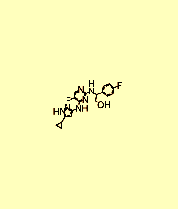 OCC(Nc1ncc(F)c(Nc2cc(C3CC3)[nH]n2)n1)c1ccc(F)cc1